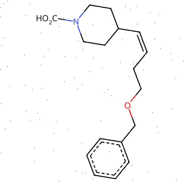 O=C(O)N1CCC(/C=C\CCOCc2ccccc2)CC1